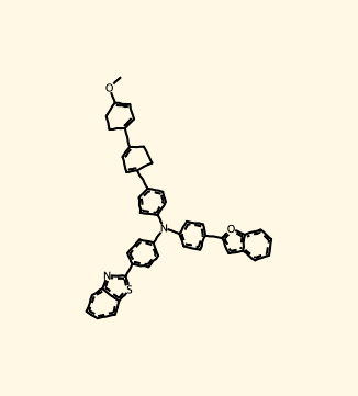 COC1=CC=C(C2=CC=C(c3ccc(N(c4ccc(-c5cc6ccccc6o5)cc4)c4ccc(-c5nc6ccccc6s5)cc4)cc3)CC2)CC1